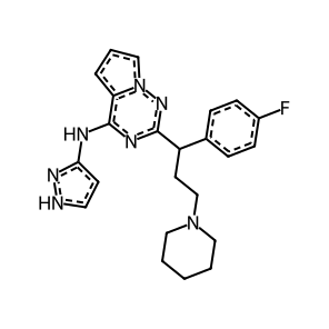 Fc1ccc(C(CCN2CCCCC2)c2nc(Nc3cc[nH]n3)c3cccn3n2)cc1